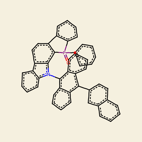 O=P1(c2ccccc2)c2ccccc2-c2ccc3c4ccccc4n(-c4c5ccccc5c(-c5ccc6ccccc6c5)c5ccccc45)c3c21